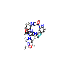 C=CC(=O)N1C[C@H](C)N(c2nc(=O)n3c4nc(c(F)cc24)-c2c(F)cccc2NC(=O)CNc2cccc(C(C)C)c2-3)C[C@H]1C